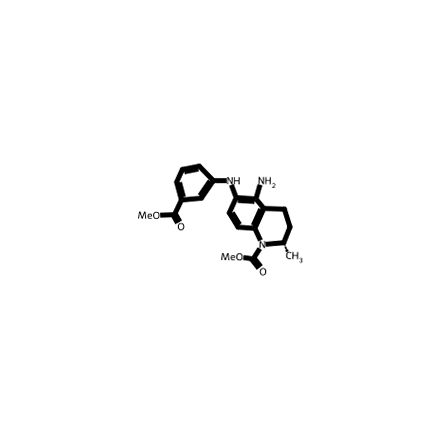 COC(=O)c1cccc(Nc2ccc3c(c2N)CC[C@H](C)N3C(=O)OC)c1